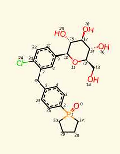 O=P1(c2ccc(Cc3cc([C@@H]4O[C@H](CO)[C@@H](O)[C@H](O)[C@H]4O)ccc3Cl)cc2)CCCC1